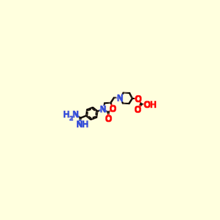 N=C(N)c1ccc(N2CC(CN3CCC(OC(=O)O)CC3)OC2=O)cc1